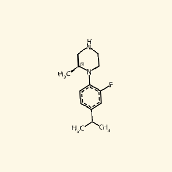 CC(C)c1ccc(N2CCNC[C@@H]2C)c(F)c1